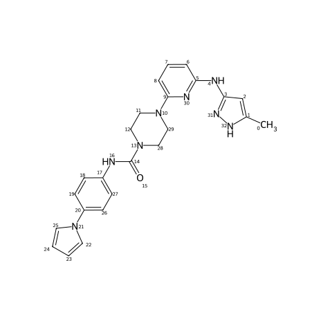 Cc1cc(Nc2cccc(N3CCN(C(=O)Nc4ccc(-n5cccc5)cc4)CC3)n2)n[nH]1